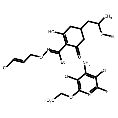 CCSC(C)CC1CC(=O)C(/C(CC)=N/OC/C=C/Cl)=C(O)C1.Nc1c(Cl)c(F)nc(OCC(=O)O)c1Cl